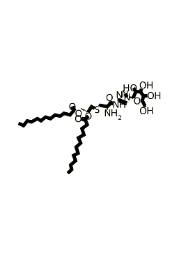 CCCCCCCCCCCCC(=O)OC[C@H](CSC[C@@H](N)C(=O)Nc1cn([C@@H]2OC(CO)C(O)C(O)C2O)nn1)OC(=O)CCCCCCCCCCCC